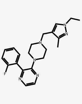 CCn1cc(CN2CCN(c3nccnc3-c3ccccc3F)CC2)c(C)n1